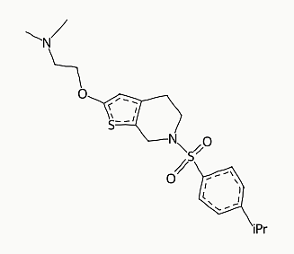 CC(C)c1ccc(S(=O)(=O)N2CCc3cc(OCCN(C)C)sc3C2)cc1